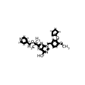 COc1ccc(Cn2cnc(O)c3nc(C(C)(C)OCc4ccncc4)nc2-3)cc1OC1CCCC1